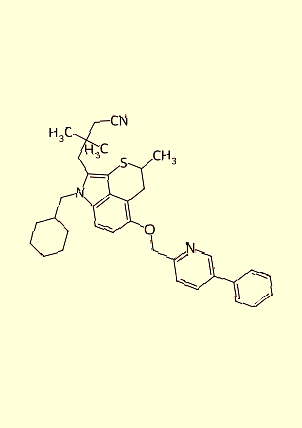 CC1Cc2c(OCc3ccc(-c4ccccc4)cn3)ccc3c2c(c(CC(C)(C)CC#N)n3CC2CCCCC2)S1